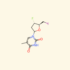 Cc1cn(C2C[C@H](F)[C@@H](CI)O2)c(=O)[nH]c1=O